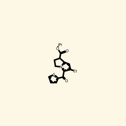 CCc1cc2n(c1C(=O)c1cccs1)CCC2C(=O)OC(C)C